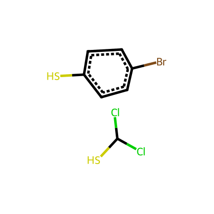 SC(Cl)Cl.Sc1ccc(Br)cc1